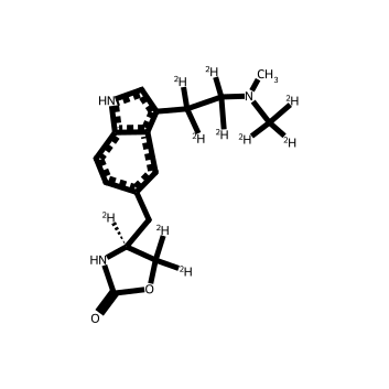 [2H]C([2H])([2H])N(C)C([2H])([2H])C([2H])([2H])c1c[nH]c2ccc(C[C@]3([2H])NC(=O)OC3([2H])[2H])cc12